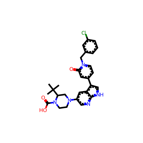 CC(C)(C)C1CN(c2cnc3[nH]cc(-c4ccn(Cc5cccc(Cl)c5)c(=O)c4)c3c2)CCN1C(=O)O